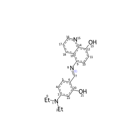 CCN(CC)c1ccc(/C=N/c2ccc(O)c3ncccc23)c(O)c1